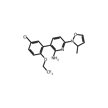 CC1C=CON1c1ccc(-c2cc(Cl)ccc2OCC(F)(F)F)c(N)n1